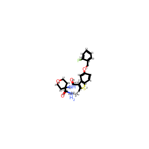 Cc1sc2ccc(OCc3ccccc3F)cc2c1C(=O)NC1(C(N)=O)CCOCC1